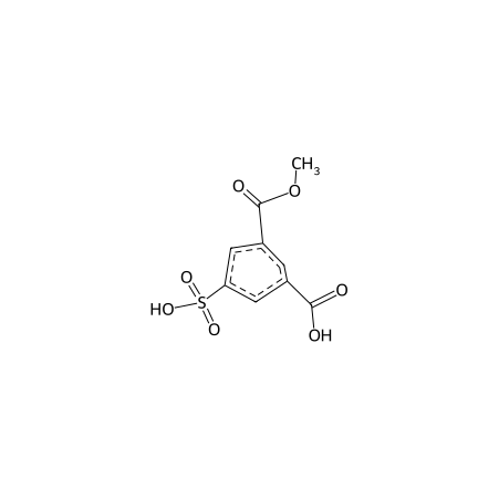 COC(=O)c1cc(C(=O)O)cc(S(=O)(=O)O)c1